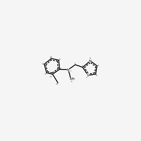 CCCN(Cc1nccs1)c1ccccc1C